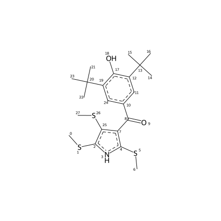 CSc1[nH]c(SC)c(C(=O)c2cc(C(C)(C)C)c(O)c(C(C)(C)C)c2)c1SC